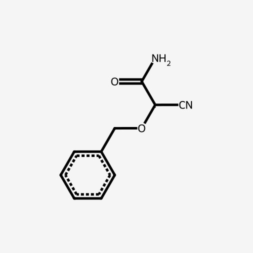 N#C[C](OCc1ccccc1)C(N)=O